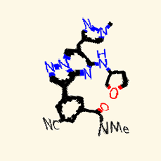 CNC(=O)c1cc(C#N)cc(-c2cnn3cc(-c4cnn(C)c4)c(NC4CCOC4)nc23)c1